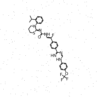 CC(C)c1ccccc1N1CCCS/C1=N\C(=O)N/C=C(\F)c1ccc(C(=N)/N=C\Nc2ccc(OC(F)(F)F)cc2)cc1